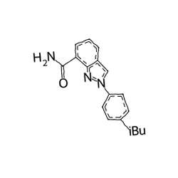 CCC(C)c1ccc(-n2cc3cccc(C(N)=O)c3n2)cc1